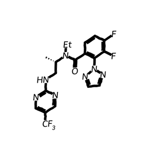 CCN(C(=O)c1ccc(F)c(F)c1-n1nccn1)[C@@H](C)CNc1ncc(C(F)(F)F)cn1